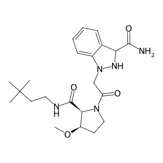 CO[C@@H]1CCN(C(=O)CN2NC(C(N)=O)c3ccccc32)[C@@H]1C(=O)NCCC(C)(C)C